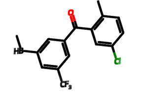 CBc1cc(C(=O)c2cc(Cl)ccc2C)cc(C(F)(F)F)c1